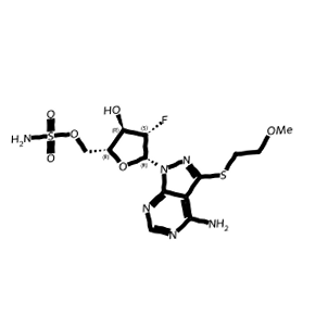 COCCSc1nn([C@@H]2O[C@H](COS(N)(=O)=O)[C@@H](O)[C@@H]2F)c2ncnc(N)c12